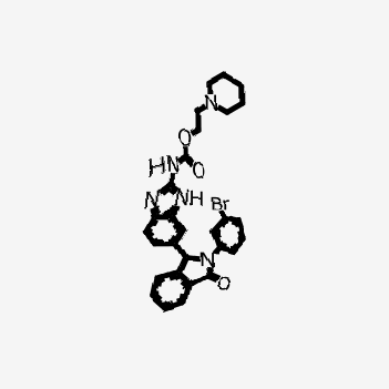 O=C(Nc1nc2ccc(C3c4ccccc4C(=O)N3c3cccc(Br)c3)cc2[nH]1)OCCN1CCCCC1